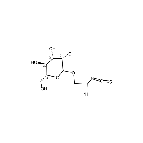 [2H]C(COC1O[C@H](CO)[C@@H](O)[C@H](O)[C@@H]1O)N=C=S